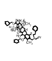 Cc1c(CN(CCc2ccccc2)CC(C)C)c(F)c2c(c1OCc1ccccc1)C(=O)C1=C(O)[C@]3(O[Si](C)(C)C(C)(C)C)C(=O)c4c(OCc5ccccc5)noc4[C@@H](N(C)C)[C@@H]3C[C@@H]1C2